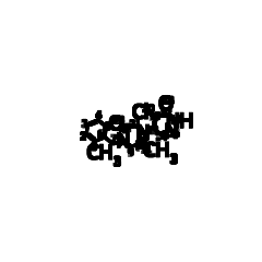 Cc1ccccc1CN1C[C@@H](C)N(c2cn[nH]c(=O)c2Cl)CC1=O